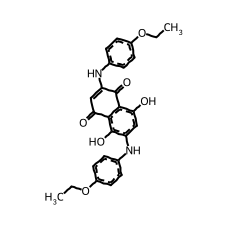 CCOc1ccc(NC2=CC(=O)c3c(O)c(Nc4ccc(OCC)cc4)cc(O)c3C2=O)cc1